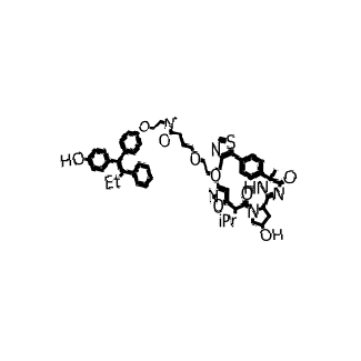 CC/C(=C(\c1ccc(O)cc1)c1ccc(OCCN(C)C(=O)CCCOCCOc2cc(C(C(=O)N3CC(O)CC3C3=NC(=O)C(C)(c4ccc(-c5scnc5C)cc4)N3)C(C)C)on2)cc1)c1ccccc1